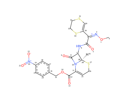 CO/N=C(\C(=O)NC1C(=O)N2C(C(=O)OCc3ccc([N+](=O)[O-])cc3)=CCS[C@H]12)C1=CSCCS1